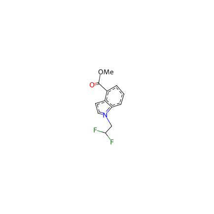 COC(=O)c1cccc2c1ccn2CC(F)F